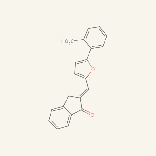 O=C1C(=Cc2ccc(-c3ccccc3C(=O)O)o2)Cc2ccccc21